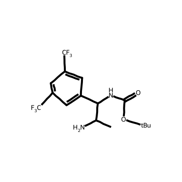 CC(N)C(NC(=O)OC(C)(C)C)c1cc(C(F)(F)F)cc(C(F)(F)F)c1